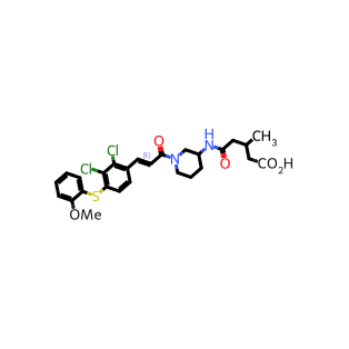 COc1ccccc1Sc1ccc(/C=C/C(=O)N2CCCC(NC(=O)CC(C)CC(=O)O)C2)c(Cl)c1Cl